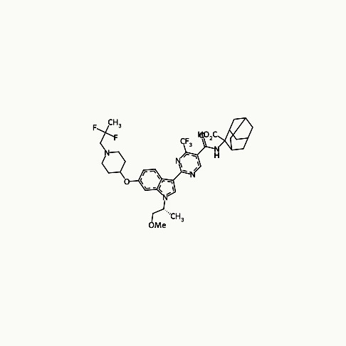 COC[C@@H](C)n1cc(-c2ncc(C(=O)NC3(C(=O)O)C4CC5CC(C4)CC3C5)c(C(F)(F)F)n2)c2ccc(OC3CCN(CC(C)(F)F)CC3)cc21